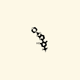 Cc1cc(C(F)(F)F)cc(O)c1-c1ccc2oc(N3CCOCC3)nc2n1